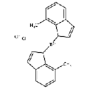 Cc1cccc2c1[CH]([Ti+2][CH]1C=Cc3cccc(C)c31)C=C2.[Cl-].[Cl-]